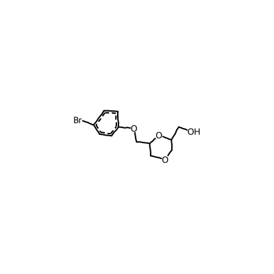 OCC1COCC(COc2ccc(Br)cc2)O1